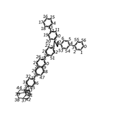 c1ccc(-c2ccc(N(c3ccc(-c4ccccc4)cc3)c3ccc(-c4ccc5cc(-c6ccc(C78CC9CC(CC(C9)C7)C8)cc6)ccc5c4)cc3)cc2)cc1